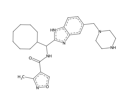 Cc1nocc1C(=O)NC(c1nc2cc(CN3CCNCC3)ccc2[nH]1)C1CCCCCCC1